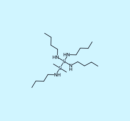 CCCCN[Si](C)(C)[Si](NCCCC)(NCCCC)NCCCC